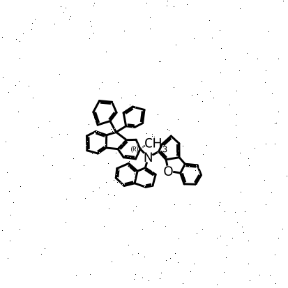 C[C@]1(N(c2cccc3ccccc23)c2cccc3c2oc2ccccc23)C=CC2=C(C1)C(c1ccccc1)(c1ccccc1)c1ccccc12